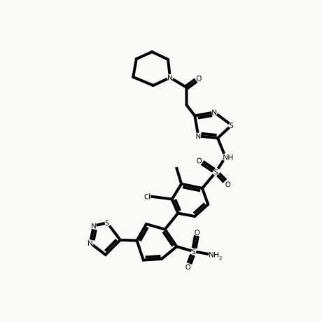 Cc1c(S(=O)(=O)Nc2nc(CC(=O)N3CCCCC3)ns2)ccc(-c2cc(-c3cnns3)ccc2S(N)(=O)=O)c1Cl